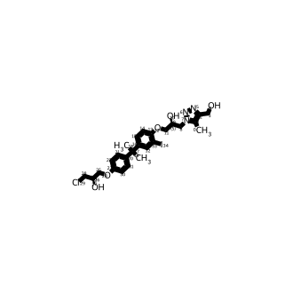 Cc1c(CO)nnn1C[C@H](O)COc1ccc(C(C)(C)c2ccc(OC[C@@H](O)CCl)cc2)cc1I